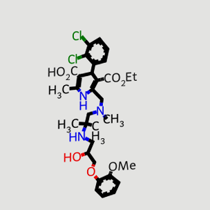 CCOC(=O)C1=C(CN(C)CC(C)(C)NCC(O)COc2ccccc2OC)NC(C)=C(C(=O)O)C1c1cccc(Cl)c1Cl